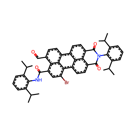 CC(C)c1cccc(C(C)C)c1NC(=O)c1cc(Br)c2c3ccc4c5c(ccc(c6ccc(C=O)c1c62)c53)C(=O)N(c1c(C(C)C)cccc1C(C)C)C4=O